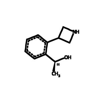 C[C@H](O)c1ccccc1C1CNC1